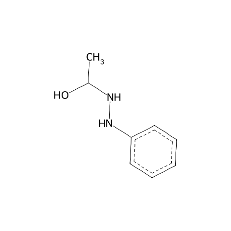 CC(O)NNc1ccccc1